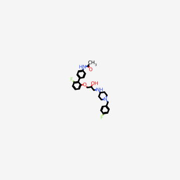 CC(=O)Nc1ccc(-c2c(F)cccc2OCC(O)CNC2CCN(Cc3ccc(F)cc3)CC2)cc1